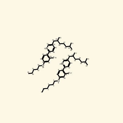 CCCCCCOc1ccc(-c2ccc(CC(C)CCCC(C)C)cn2)c(F)c1.CCCCCOc1ccc(-c2ccc(CC(C)CCCC(C)C)cn2)c(F)c1